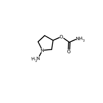 NC(=O)OC1CCN(N)C1